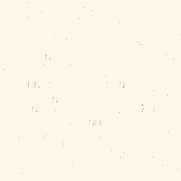 O=C(O)N1CCC[C@H](Nc2ncc(C(F)(F)F)c(-c3c[nH]c4cc(C(=O)N5CC[C@@H](O)C5)ccc34)n2)C1